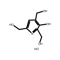 Cl.OCc1cc(CO)c(O)c(CO)n1